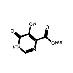 COC(=O)c1nc[nH]c(=O)c1O